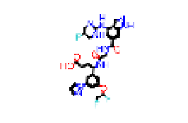 O=C(O)CCC(NC(=O)CNC(=O)c1cc(NC2=NCC(F)CN2)c2cn[nH]c2c1)c1cc(OC(F)CF)cc(-n2cccn2)c1